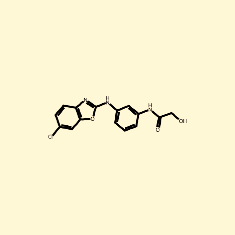 O=C(CO)Nc1cccc(Nc2nc3ccc(Cl)cc3o2)c1